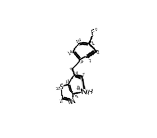 Fc1ccc(Cc2c[nH]c3ncsc23)cc1